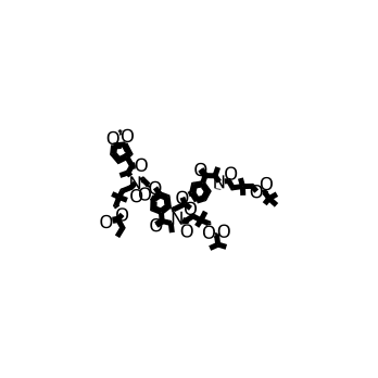 CCC(=O)OCC(C)(C)CC(=O)N(CC1Oc2ccc(C(=O)C(C)N(CC3Oc4ccc(C(=O)C(C)N(C)C(=O)CC(C)(C)COC(=O)C(C)(C)C)cc4O3)C(=O)CC(C)(C)COC(=O)C(C)C)cc2O1)C(C)C(=O)c1ccc2c(c1)OCO2